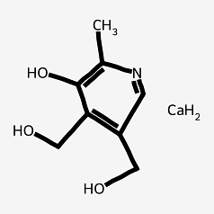 Cc1ncc(CO)c(CO)c1O.[CaH2]